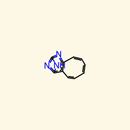 C1=C\C=C/c2c(nc3nc2N3)\C=C/1